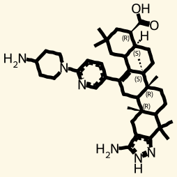 CC1(C)CC2C3=C(c4ccc(N5CCC(N)CC5)nc4)CC4[C@@]5(C)Cc6c(n[nH]c6N)C(C)(C)C5CC[C@@]4(C)[C@]3(C)CC[C@@H]2[C@H](C(=O)O)C1